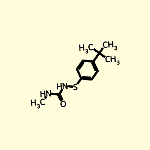 CNC(=O)NSc1ccc(C(C)(C)C)cc1